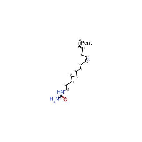 CCCCCC=CC/C=C\CCCCCCCCNC(N)=O